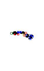 O=C(N=[N+]=NCc1ccc(S(=O)(=O)N2CCC(n3cnc4cncnc43)CC2)s1)c1ccc(Cl)cc1